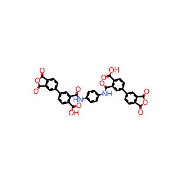 O=C(O)c1ccc(-c2ccc3c(c2)C(=O)OC3=O)cc1C(=O)Nc1ccc(NC(=O)c2cc(-c3ccc4c(c3)C(=O)OC4=O)ccc2C(=O)O)cc1